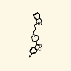 Fc1ccc2c(C3CCN(CCCn4ncc5ccccc54)CC3)noc2c1